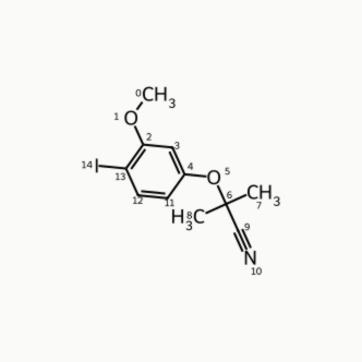 COc1cc(OC(C)(C)C#N)ccc1I